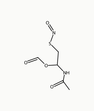 CC(=O)NC(CSN=O)OC=O